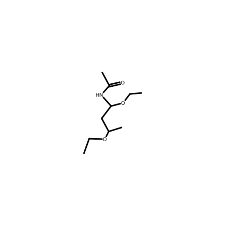 CCOC(C)CC(NC(C)=O)OCC